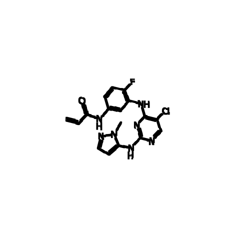 C=CC(=O)Nc1ccc(F)c(Nc2nc(Nc3ccnn3C)ncc2Cl)c1